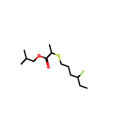 CCC(F)CCCSC(C)C(=O)OCC(C)C